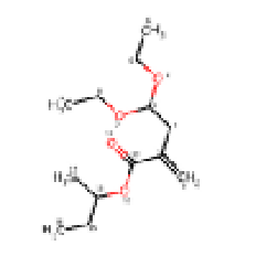 C=C(CC(OCC)OCC)C(=O)OC([SiH3])CC